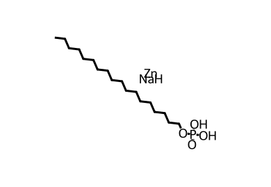 CCCCCCCCCCCCCCCCCCOP(=O)(O)O.[NaH].[Zn]